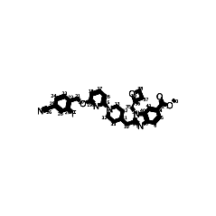 COC(=O)c1ccc2nc(CC3CCN(c4cccc(OCc5ccc(C#N)cc5F)n4)CC3)n(C[C@@H]3CCO3)c2c1